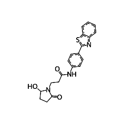 O=C(CCN1C(=O)CCC1O)Nc1ccc(-c2nc3ccccc3s2)cc1